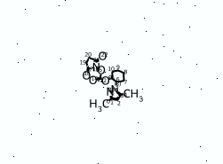 Cc1cc(C)n([C@@H]2CCCC[C@H]2OC(=O)ON2C(=O)CCC2=O)n1